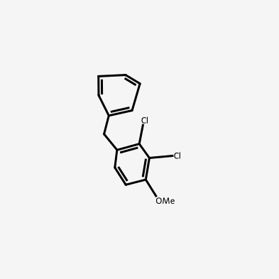 COc1ccc(Cc2ccccc2)c(Cl)c1Cl